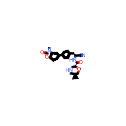 Cn1c(=O)oc2ccc(-c3ccc(C[C@@H](C#N)NC(=O)[C@@H]4CNCC5(CC5)CO4)cc3)cc21